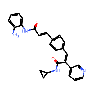 Nc1ccccc1NC(=O)/C=C/c1ccc(C=C(C(=O)NC2CC2)c2cccnc2)cc1